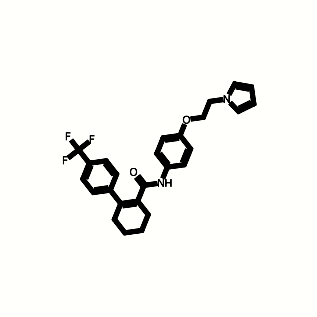 O=C(Nc1ccc(OCCn2cccc2)cc1)C1=C(c2ccc(C(F)(F)F)cc2)CCCC1